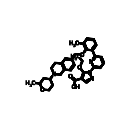 CCOc1c(C(=O)O)cnn1-c1cccc(-c2cccc(C)c2OCc2ccc3c(c2)CCN(C2CCOC(C)C2)C3)n1